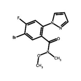 CON(C)C(=O)c1cc(Br)c(F)cc1-n1cccn1